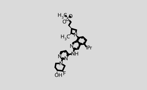 CC(C)c1ccc(N2C[C@H](CCS(C)(=O)=O)[C@H]2C)c2cnc(Nc3ccnc(N4CC[C@@H](O)[C@@H](F)C4)n3)cc12